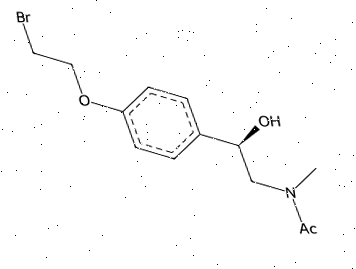 CC(=O)N(C)C[C@H](O)c1ccc(OCCBr)cc1